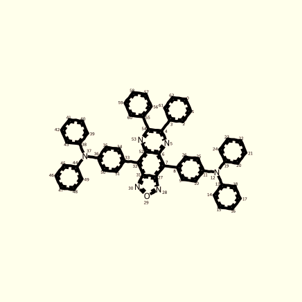 c1ccc(-c2nc3c(-c4ccc(N(c5ccccc5)c5ccccc5)cc4)c4nonc4c(-c4ccc(N(c5ccccc5)c5ccccc5)cc4)c3nc2-c2ccccc2)cc1